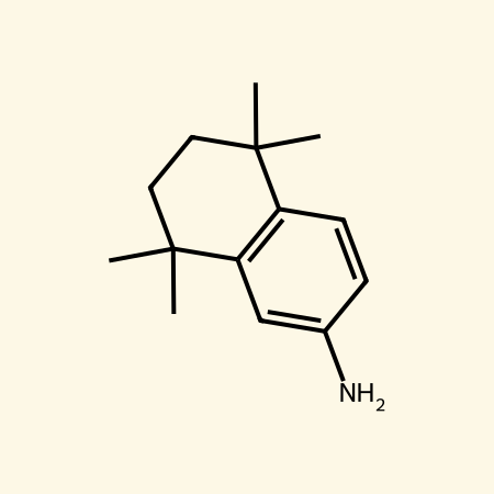 CC1(C)CCC(C)(C)c2cc(N)ccc21